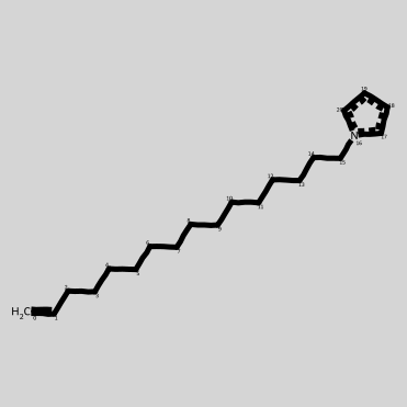 C=CCCCCCCCCCCCCCCn1cccc1